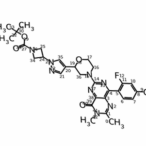 Cc1nc2c(-c3ccc(Cl)cc3F)nc(N3CCOC(c4cnn(C5CN(C(=O)OC(C)(C)C)C5)c4)C3)nc2c(=O)n1C